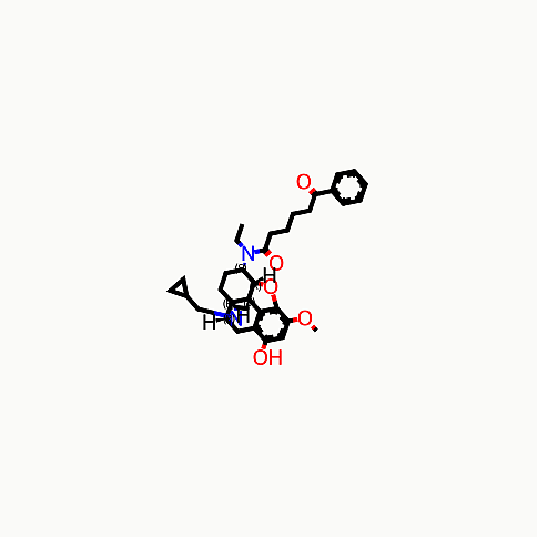 CCN(C(=O)CCCCC(=O)c1ccccc1)[C@H]1CC[C@H]2[C@H]3Cc4c(O)cc(OC)c5c4[C@@]2(CCN3CC2CC2)[C@H]1O5